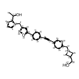 CC(O)c1nccn1Cc1cc(-c2ccc(C#Cc3ccc(CN4CC(CO)C4)nc3)cc2)on1